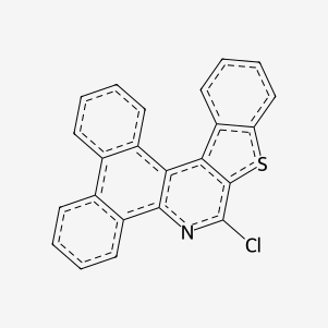 Clc1nc2c3ccccc3c3ccccc3c2c2c1sc1ccccc12